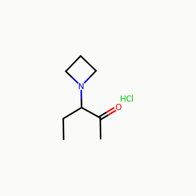 CCC(C(C)=O)N1CCC1.Cl